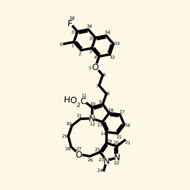 Cc1cc2c(OCCCc3c(C(=O)O)n4c5c(cccc35)-c3c(C)nn(C)c3COCCCC4)cccc2cc1F